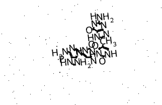 Cc1c[nH]c(=O)[nH]c1=O.Nc1cc[nH]c(=O)n1.Nc1nc2nc[nH]c2c(=O)[nH]1.Nc1ncnc2nc[nH]c12.[P]